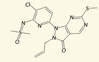 C=CCn1c(=O)c2cnc(SC)nc2n1-c1ccc(Cl)c(N=S(C)(C)=O)n1